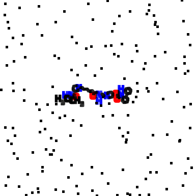 CC(C)NC(=O)[C@@H]1CCCN(CCCCCC(=O)CNCCN2CCC(OC(=O)Nc3ccccc3-c3ccccc3)CC2)C1